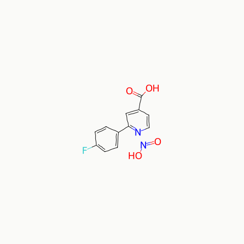 O=C(O)c1ccnc(-c2ccc(F)cc2)c1.O=NO